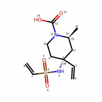 C=C[C@@]1(NS(=O)(=O)C=C)CCN(C(=O)O)[C@@H](C)C1